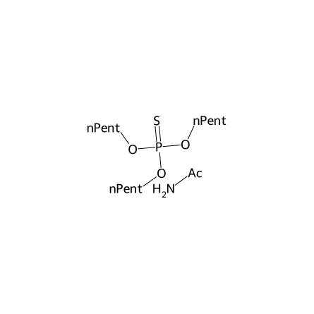 CC(N)=O.CCCCCOP(=S)(OCCCCC)OCCCCC